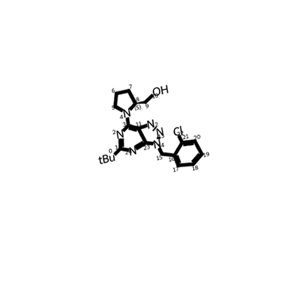 CC(C)(C)c1nc(N2CCC[C@H]2CO)c2nnn(Cc3ccccc3Cl)c2n1